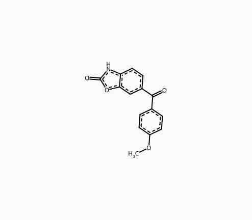 COc1ccc(C(=O)c2ccc3[nH]c(=O)oc3c2)cc1